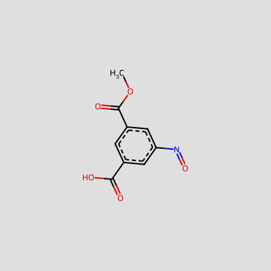 COC(=O)c1cc(N=O)cc(C(=O)O)c1